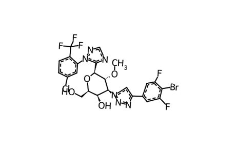 CO[C@@H]1[C@@H](n2cc(-c3cc(F)c(Br)c(F)c3)nn2)[C@@H](O)[C@@H](CO)O[C@H]1c1ncnn1-c1cc(Cl)ccc1C(F)(F)F